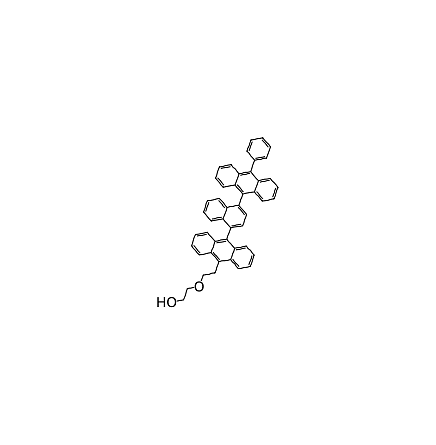 OCCOCCc1c2ccccc2c(-c2ccc(-c3c4ccccc4c(-c4ccccc4)c4ccccc34)c3ccccc23)c2ccccc12